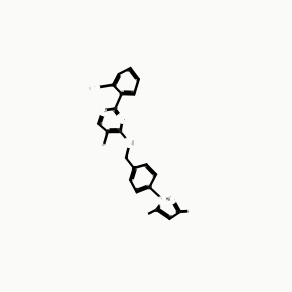 Cc1cc(C(F)(F)F)nn1-c1ccc(CNc2nc(-c3ccccc3C(C)C)ncc2O)cc1